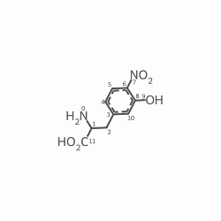 NC(Cc1ccc([N+](=O)[O-])c(O)c1)C(=O)O